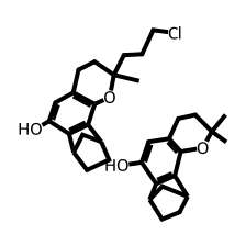 CC1(C)CCc2cc(O)c3c(c2O1)C1CCC3C1.CC1(CCCCl)CCc2cc(O)c3c(c2O1)C1CCC3C1